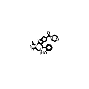 Cc1nnc2n1-c1sc3c(c1C(c1ccccc1O)NC2)CC(C(=O)N1CCOCC1)C3